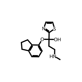 CNCCC(O)(Oc1cccc2c1CCC2)c1nccs1